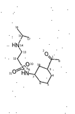 CC(=O)C1CCCC(NS(=O)(=O)CCNC(C)C)C1